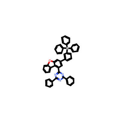 c1ccc(-c2nc(-c3ccccc3)nc(-c3cc(-c4cccc([Si](c5ccccc5)(c5ccccc5)c5ccccc5)c4)cc4oc5ccccc5c34)n2)cc1